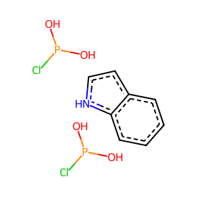 OP(O)Cl.OP(O)Cl.c1ccc2[nH]ccc2c1